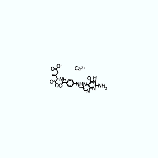 C=C(CC(=O)[O-])[C@H](NC(=O)c1ccc(NCc2cnc3nc(N)[nH]c(=O)c3n2)cc1)C(=O)[O-].[Ca+2]